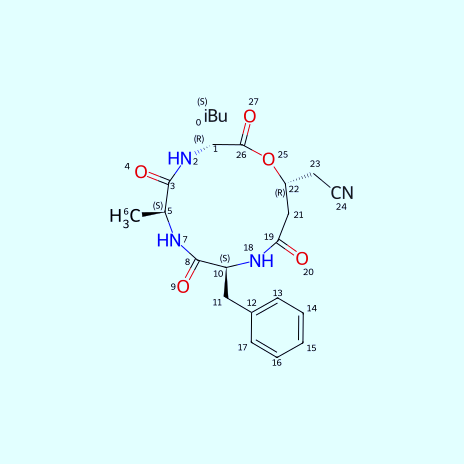 CC[C@H](C)[C@H]1NC(=O)[C@H](C)NC(=O)[C@H](Cc2ccccc2)NC(=O)C[C@@H](CC#N)OC1=O